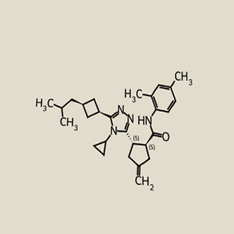 C=C1C[C@H](C(=O)Nc2ccc(C)cc2C)[C@@H](c2nnc([C@H]3C[C@@H](CC(C)C)C3)n2C2CC2)C1